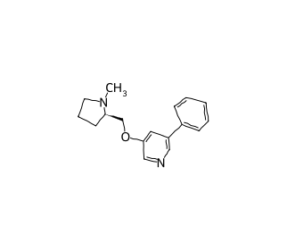 CN1CCC[C@@H]1COc1cncc(-c2ccccc2)c1